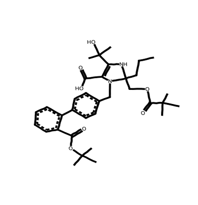 CCCC1(COC(=O)C(C)(C)C)NC(C(C)(C)O)=C(C(=O)O)N1Cc1ccc(-c2ccccc2C(=O)OC(C)(C)C)cc1